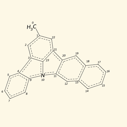 Cc1cc2c3ccccc3n3c4cc5ccccc5cc4c(c1)c23